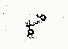 C=Cc1ccccc1OCCOCc1c(-c2ccc3[nH]ncc3c2)cnn1C